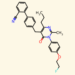 CCCc1nc(C)n(-c2ccc(OCCF)cc2)c(=O)c1Cc1ccc(-c2ccccc2C#N)cc1